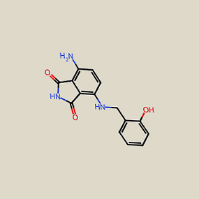 Nc1ccc(NCc2ccccc2O)c2c1C(=O)NC2=O